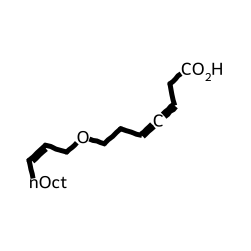 CCCCCCCC/C=C\COCCC=C=CCC(=O)O